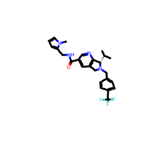 CC(C)[C@H]1c2ncc(C(=O)NCc3cccn3C)cc2CN1Cc1ccc(C(F)(F)F)cc1